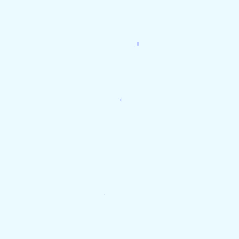 [CH2]CCCCCCCCCNCCCN